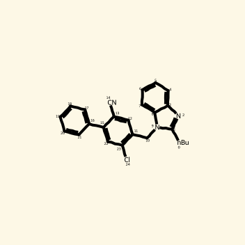 CCCCc1nc2ccccc2n1Cc1cc(C#N)c(-c2ccccc2)cc1Cl